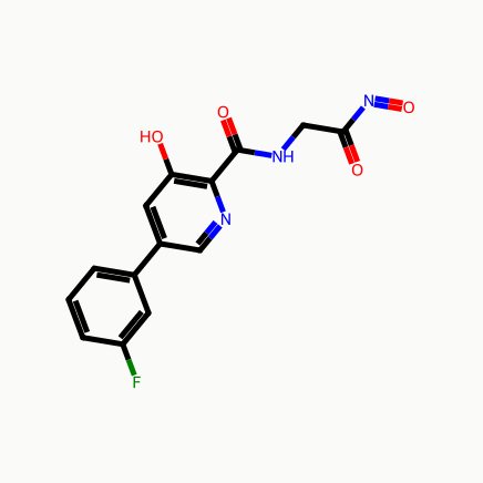 O=NC(=O)CNC(=O)c1ncc(-c2cccc(F)c2)cc1O